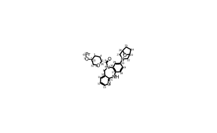 CC(C)O[C@H]1CC[C@H](C(=O)N2Cc3cccnc3Nc3ccc(N4CC5CCC(C4)O5)cc32)OC1